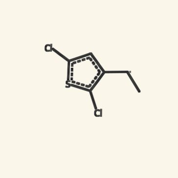 C[CH]c1cc(Cl)sc1Cl